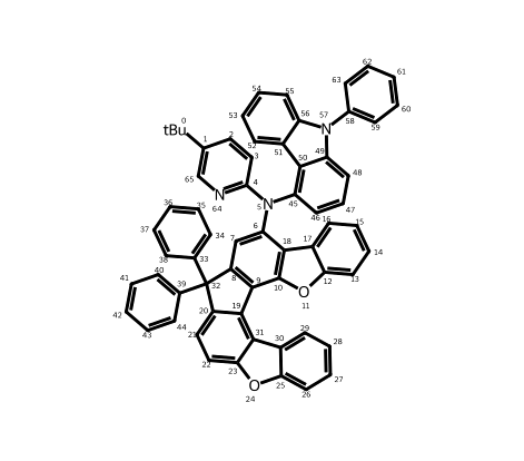 CC(C)(C)c1ccc(N(c2cc3c(c4oc5ccccc5c24)-c2c(ccc4oc5ccccc5c24)C3(c2ccccc2)c2ccccc2)c2cccc3c2c2ccccc2n3-c2ccccc2)nc1